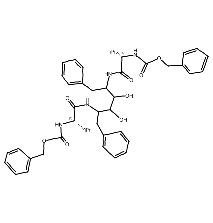 CC(C)[C@H](NC(=O)OCc1ccccc1)C(=O)NC(Cc1ccccc1)C(O)C(O)C(Cc1ccccc1)NC(=O)[C@@H](NC(=O)OCc1ccccc1)C(C)C